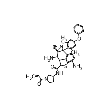 C=CC(=O)N1CCC(NC(=O)C2Sc3c(N)ccc4c3C2C(N)C(=O)C4(N)c2c(C)cc(Oc3ccccc3)cc2C)C1